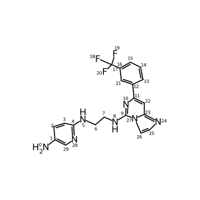 Nc1ccc(NCCNc2nc(-c3cccc(C(F)(F)F)c3)cc3nccn23)nc1